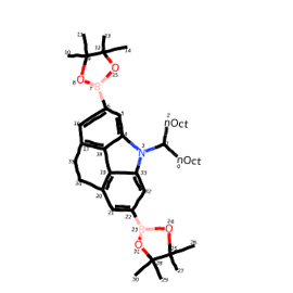 CCCCCCCCC(CCCCCCCC)n1c2cc(B3OC(C)(C)C(C)(C)O3)cc3c2c2c(cc(B4OC(C)(C)C(C)(C)O4)cc21)CC3